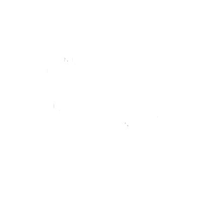 C=C/C(=C\C=C(/N)I)OCCN1CCCC1=O